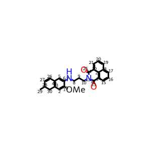 COc1cc2c(cc1NCCCN1C(=O)c3cccc4cccc(c34)C1=O)C=CC(C)C2